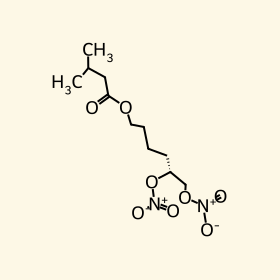 CC(C)CC(=O)OCCCC[C@H](CO[N+](=O)[O-])O[N+](=O)[O-]